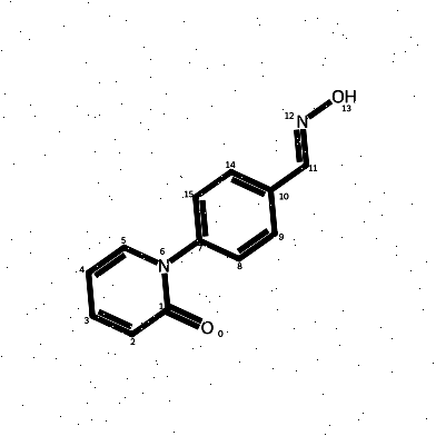 O=c1ccccn1-c1ccc(/C=N/O)cc1